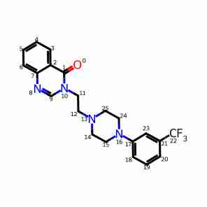 O=c1c2ccccc2ncn1CCN1CCN(c2cccc(C(F)(F)F)c2)CC1